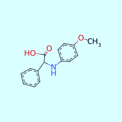 COc1ccc(NC(C(=O)O)c2ccccc2)cc1